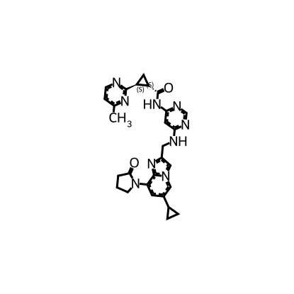 Cc1ccnc([C@H]2C[C@@H]2C(=O)Nc2cc(NCc3cn4cc(C5CC5)cc(N5CCCC5=O)c4n3)ncn2)n1